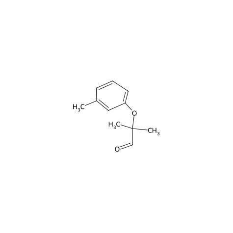 Cc1cccc(OC(C)(C)C=O)c1